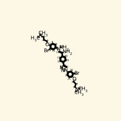 CN(C)CCCOc1ccc(N(N)/C=C(\N)c2ccc(-c3cn(-c4ccc(OCCCN(C)C)c(Br)c4)nn3)cc2)cc1Br